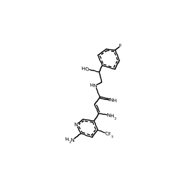 N=C(/C=C(\N)c1cnc(N)cc1C(F)(F)F)NCC(O)c1ccc(F)cc1